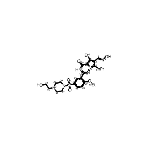 CCCc1c(/C=N/O)c(CC)c2c(=O)[nH]c(-c3cc(S(=O)(=O)N4CCN(CCO)CC4)ccc3OCC)nn12